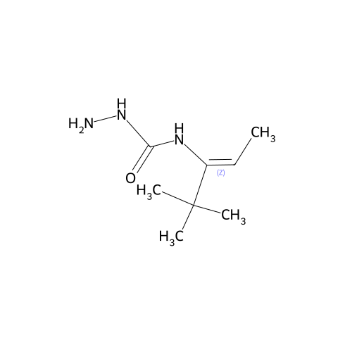 C/C=C(\NC(=O)NN)C(C)(C)C